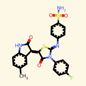 Cc1ccc2c(c1)/C(=C1/S/C(=N\c3ccc(S(N)(=O)=O)cc3)N(c3ccc(F)cc3)C1=O)C(=O)N2